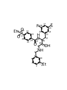 CCc1cccc(CNC[C@H](O)[C@H](Cc2cc(F)cc(F)c2)NC(=O)c2ccc(S(=O)(=O)CC)cc2)c1